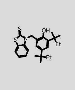 CCC(C)(C)c1cc(Cn2c(=S)sc3ccccc32)c(O)c(C(C)(C)CC)c1